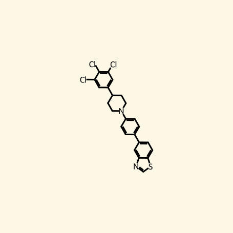 Clc1cc(C2CCN(c3ccc(-c4ccc5scnc5c4)cc3)CC2)cc(Cl)c1Cl